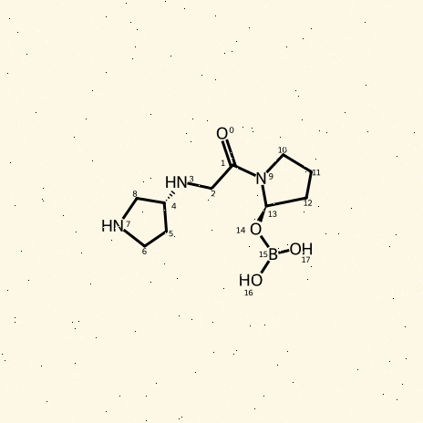 O=C(CN[C@@H]1CCNC1)N1CCC[C@H]1OB(O)O